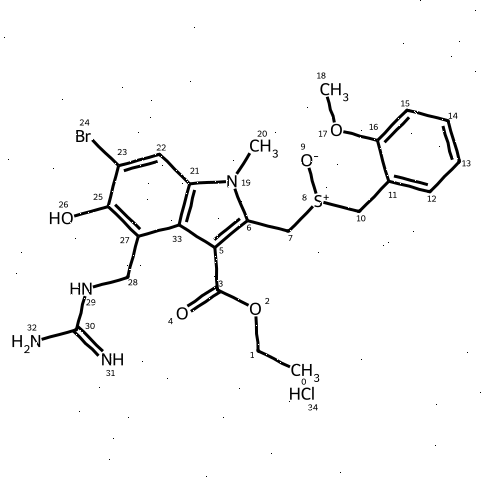 CCOC(=O)c1c(C[S+]([O-])Cc2ccccc2OC)n(C)c2cc(Br)c(O)c(CNC(=N)N)c12.Cl